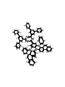 c1ccc(-c2cc(-c3ccccc3)cc(-c3nc(-c4cc(-c5ccccc5)cc(-c5ccccc5)c4)nc(-c4cc5c6c(c4)N(c4ccccc4)c4c(ccc7c4ccc4ccccc47)B6c4ccc6c(ccc7ccccc76)c4N5c4ccccc4)n3)c2)cc1